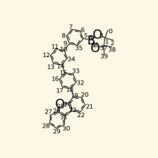 CC1(C)OB(c2cccc(-c3cccc(-c4ccc(-c5cccc6c5oc5ccccc56)cc4)c3)c2)OC1(C)C